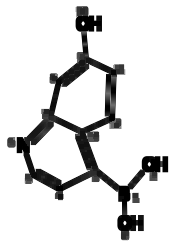 OB(O)c1ccnc2cc(O)ccc12